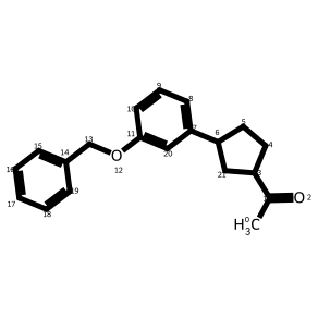 CC(=O)C1CCC(c2cccc(OCc3ccccc3)c2)C1